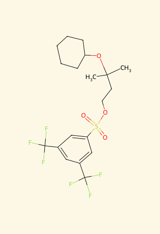 CC(C)(CCOS(=O)(=O)c1cc(C(F)(F)F)cc(C(F)(F)F)c1)OC1CCCCC1